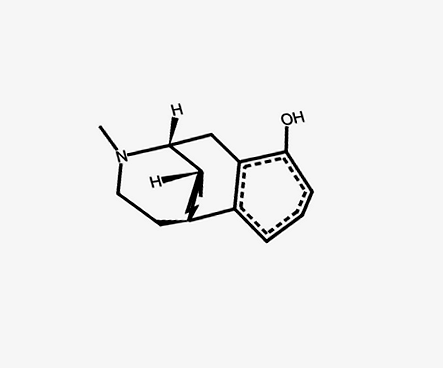 CN1CC[C@]23CCCC[C@H]2[C@H]1Cc1c(O)cccc13